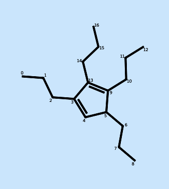 CCCC1=CC(CCC)C(CCC)=C1CCC